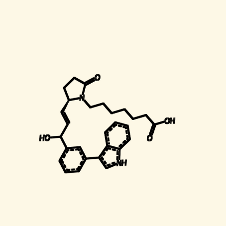 O=C(O)CCCCCCN1C(=O)CC[C@@H]1C=CC(O)c1cccc(-c2c[nH]c3ccccc23)c1